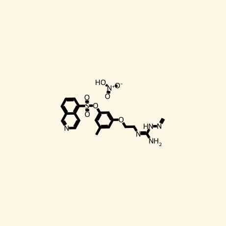 C=NNC(N)=NCCOc1cc(C)cc(OS(=O)(=O)c2cccc3cnccc23)c1.O=[N+]([O-])O